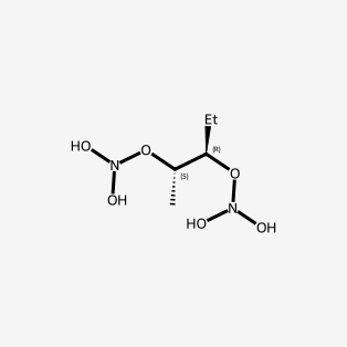 CC[C@@H](ON(O)O)[C@H](C)ON(O)O